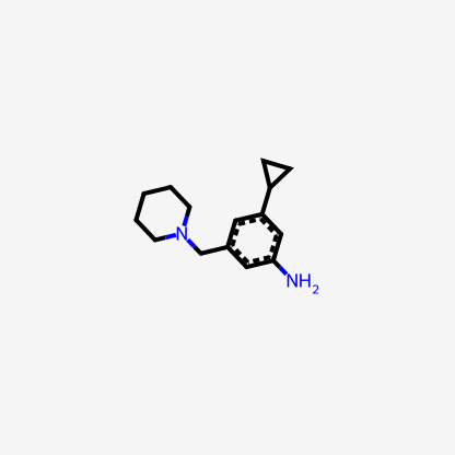 Nc1cc(CN2CCCCC2)cc(C2CC2)c1